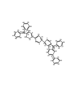 C1=C(c2ccc(-c3ccc4c(c3)c3ccc(-c5ccccc5)cc3n4-c3ccccc3)cc2)CCc2c1c1ccccc1n2-c1ccccc1